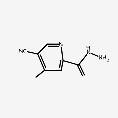 C=C(NN)c1cc(C)c(C#N)cn1